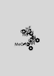 COCCN1C[C@@H](NC(=O)Nc2c(C)c(-c3cnc(OCF)c(C(O)NC4CCOCC4)c3)nn2-c2ccccc2)[C@H](c2ccccc2)C1